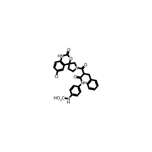 O=C(O)Nc1ccc(NC(=O)C(Cc2ccccc2)C(=O)N2CCC3(C2)OC(=O)Nc2ccc(Cl)cc23)cc1